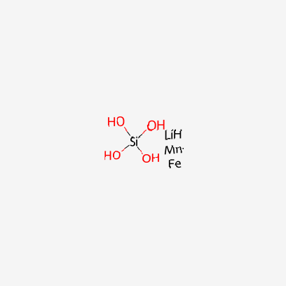 O[Si](O)(O)O.[Fe].[LiH].[Mn]